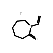 C=CN1CCCCCC1=O.[Ti]